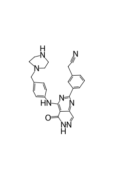 N#CCc1cccc(-c2nc(Nc3ccc(CN4CCNCC4)cc3)c3c(=O)[nH]ncc3n2)c1